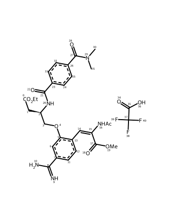 CCOC(=O)C[C@H](COc1cc(C(=N)N)ccc1C=C(NC(C)=O)C(=O)OC)NC(=O)c1ccc(C(=O)N(C)C)cc1.O=C(O)C(F)(F)F